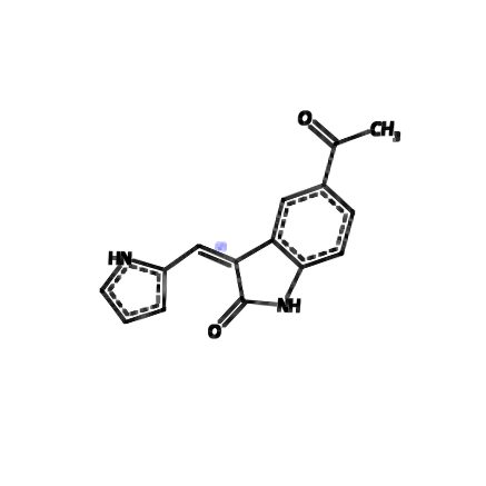 CC(=O)c1ccc2c(c1)/C(=C/c1ccc[nH]1)C(=O)N2